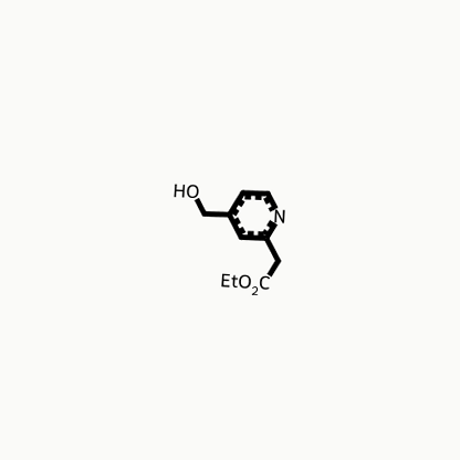 CCOC(=O)Cc1cc(CO)ccn1